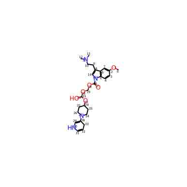 COc1ccc2c(c1)c(CCN(C)C)cn2C(=O)OCOC(O)OC1CCN(C2=CNC=CC2)CC1